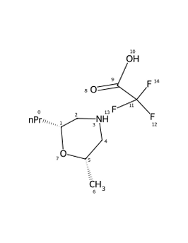 CCC[C@@H]1CNC[C@H](C)O1.O=C(O)C(F)(F)F